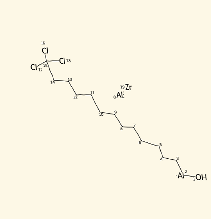 [Al].[OH][Al][CH2]CCCCCCCCCCCC(Cl)(Cl)Cl.[Zr]